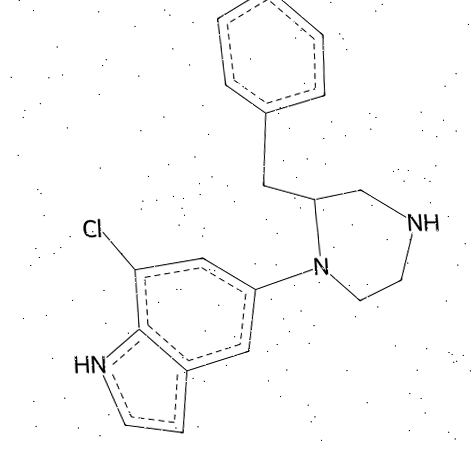 Clc1cc(N2CCNCC2Cc2ccccc2)cc2cc[nH]c12